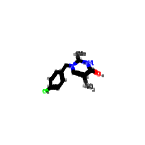 CSC1NC(=O)C([N+](=O)[O-])=CN1Cc1ccc(Cl)cc1